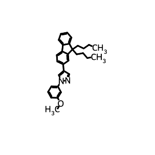 CCCCC1(CCCC)c2ccccc2-c2ccc(-c3cnn(-c4cccc(OC)c4)c3)cc21